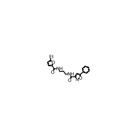 CCc1ccc(C(=O)NCCCNC(=O)c2cc(-c3ccccc3)on2)o1